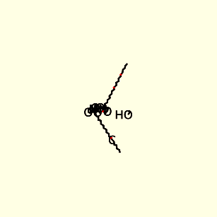 CCCCCCCCCCCCCCCC=CCCCC1COCCN1O[N+](=O)ON1CCOCC1CCCC=CCCCCCCCCCCCCCCC.CCO